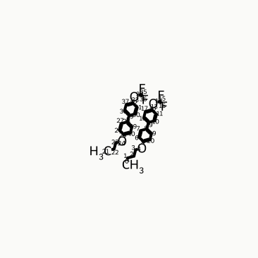 CCCCOc1ccc(-c2ccc(OC(F)F)cc2)cc1.CCCOc1ccc(-c2ccc(OC(F)F)cc2)cc1